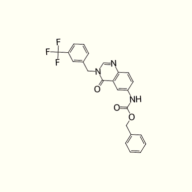 O=C(Nc1ccc2ncn(Cc3cccc(C(F)(F)F)c3)c(=O)c2c1)OCc1ccccc1